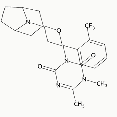 Cc1nc(=O)n(CCCN2C3CCC2CC(OCc2ccccc2C(F)(F)F)C3)c(=O)n1C